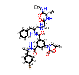 CCNC(=O)[C@@H](NC(=O)[C@H](C)NC[C@H](Cc1ccccc1)NC(=O)c1cc(C(=O)N[C@H](C)c2ccc(Br)cc2)cc(N2CC(C)OC2=O)c1)C(C)C